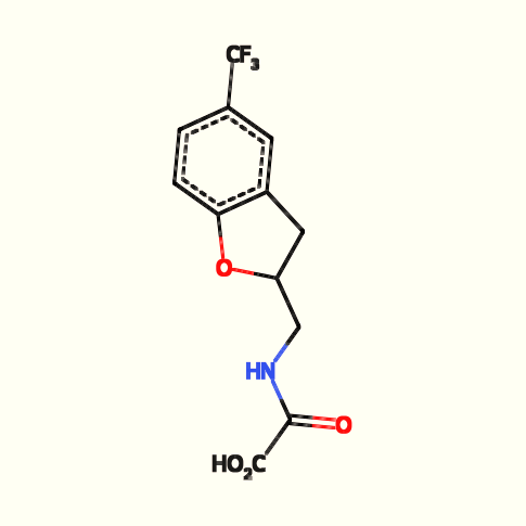 O=C(O)C(=O)NCC1Cc2cc(C(F)(F)F)ccc2O1